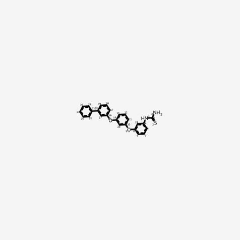 NC(=S)Nc1cccc(Oc2cccc(Oc3cccc(-c4ccccc4)c3)c2)c1